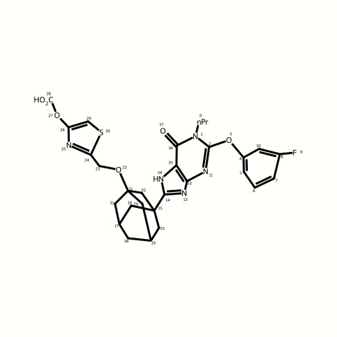 CCCn1c(Oc2cccc(F)c2)nc2nc(C34CC5CC(CC(OCc6nc(OC(=O)O)cs6)(C5)C3)C4)[nH]c2c1=O